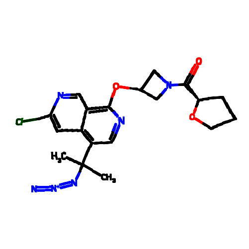 CC(C)(N=[N+]=[N-])c1cnc(OC2CN(C(=O)[C@H]3CCCO3)C2)c2cnc(Cl)cc12